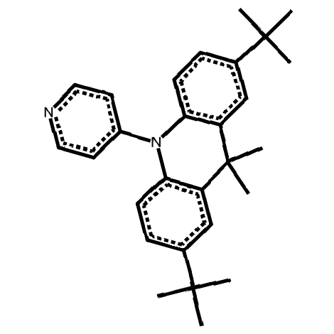 CC(C)(C)c1ccc2c(c1)C(C)(C)c1cc(C(C)(C)C)ccc1N2c1ccncc1